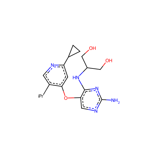 CC(C)c1cnc(C2CC2)cc1Oc1cnc(N)nc1NC(CO)CO